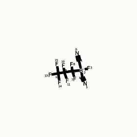 N#C[B-](F)(C#N)C(F)(F)C(F)(F)C(F)(F)F